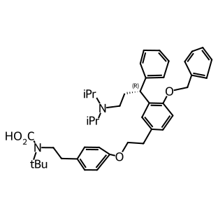 CC(C)N(CC[C@H](c1ccccc1)c1cc(CCOc2ccc(CCN(C(=O)O)C(C)(C)C)cc2)ccc1OCc1ccccc1)C(C)C